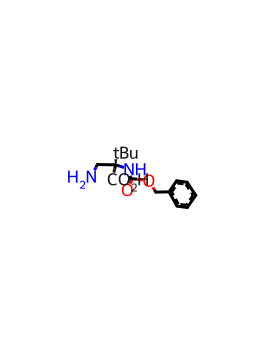 CC(C)(C)[C@@](CN)(NC(=O)OCc1ccccc1)C(=O)O